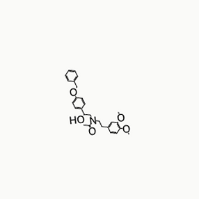 COc1ccc(CCN(CC(O)c2ccc(OCc3ccccc3)cc2)C(C)=O)cc1OC